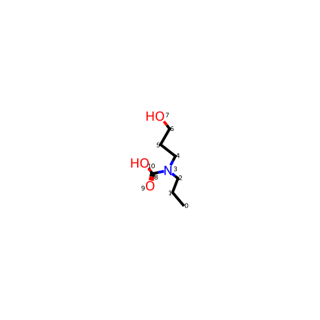 CCCN(CCCO)C(=O)O